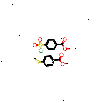 COC(=O)c1ccc(S(=O)(=O)Cl)cc1.COC(=O)c1ccc(SC)cc1